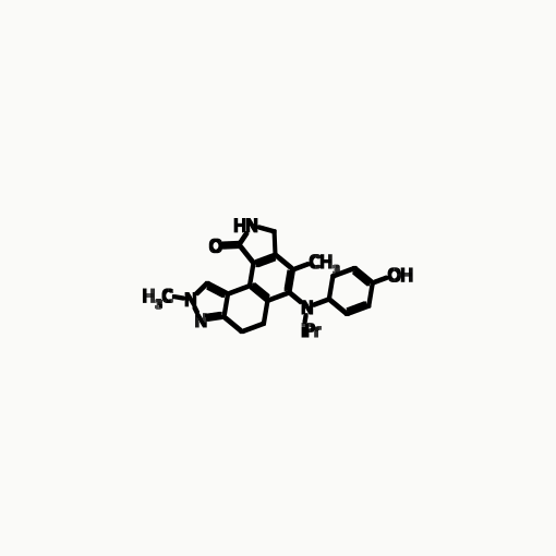 Cc1c2c(c3c(c1N(C(C)C)C1C=CC(O)=CC1)CCc1nn(C)cc1-3)C(=O)NC2